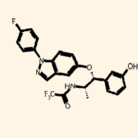 C[C@H](NC(=O)C(F)(F)F)[C@H](Oc1ccc2c(cnn2-c2ccc(F)cc2)c1)c1cccc(O)c1